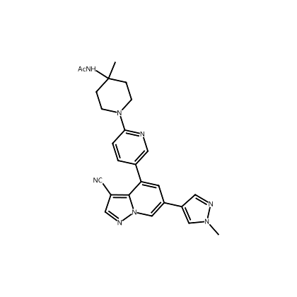 CC(=O)NC1(C)CCN(c2ccc(-c3cc(-c4cnn(C)c4)cn4ncc(C#N)c34)cn2)CC1